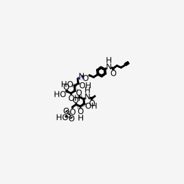 C#CCCC(=O)Nc1ccc(CCO/N=C\C(O)[C@@H](O)[C@H](O[C@@H]2OC(COS(=O)(=O)O)[C@@H](O)[C@H](O)C2NC(C)=O)C(O)C(=O)O)cc1